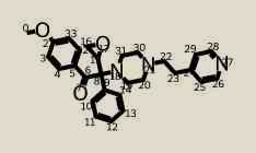 COc1ccc(C(=O)C(c2ccccc2)(C2CO2)N2CCN(CCc3ccncc3)CC2)cc1